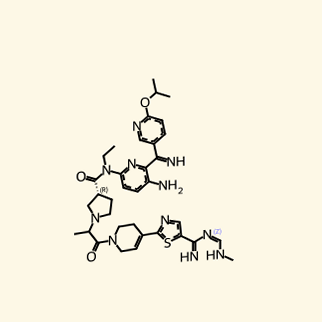 CCN(C(=O)[C@@H]1CCN(C(C)C(=O)N2CC=C(c3ncc(C(=N)/N=C\NC)s3)CC2)C1)c1ccc(N)c(C(=N)c2ccc(OC(C)C)nc2)n1